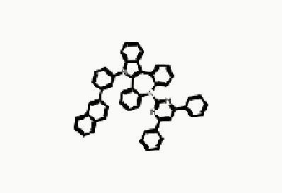 c1ccc(-c2cc(-c3ccccc3)nc(N3c4ccccc4-c4c(n(-c5cccc(-c6ccc7ccccc7c6)c5)c5ccccc45)-c4ccccc43)n2)cc1